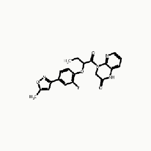 CCC(Oc1ccc(-c2cc(C)on2)cc1F)C(=O)N1CC(=O)Nc2cccnc21